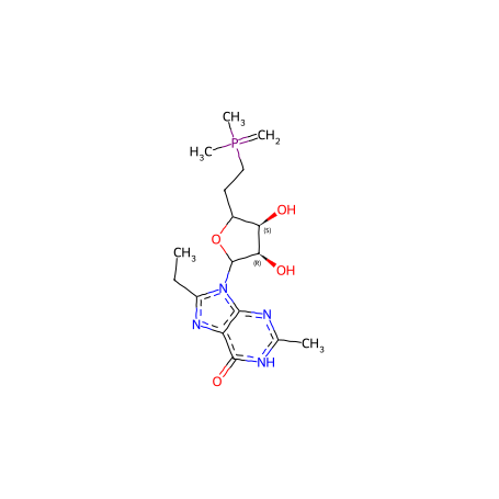 C=P(C)(C)CCC1OC(n2c(CC)nc3c(=O)[nH]c(C)nc32)[C@H](O)[C@@H]1O